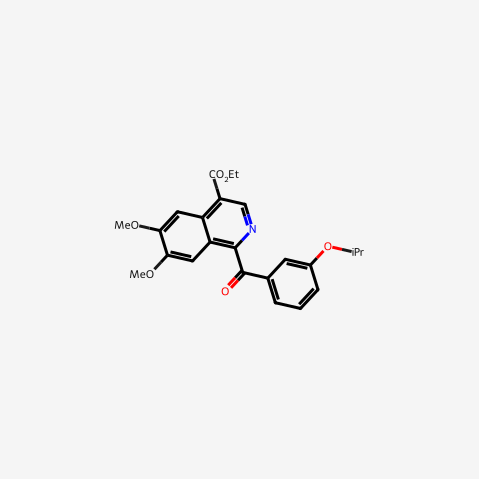 CCOC(=O)c1cnc(C(=O)c2cccc(OC(C)C)c2)c2cc(OC)c(OC)cc12